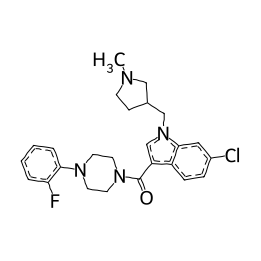 CN1CCC(Cn2cc(C(=O)N3CCN(c4ccccc4F)CC3)c3ccc(Cl)cc32)C1